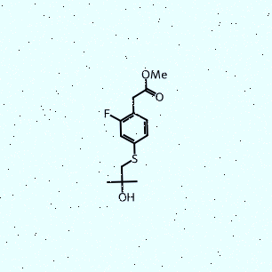 COC(=O)Cc1ccc(SCC(C)(C)O)cc1F